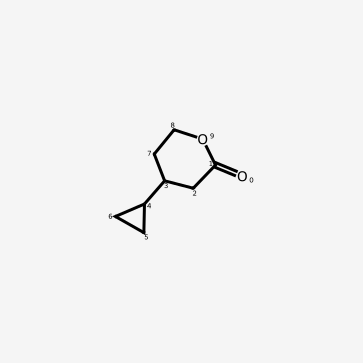 O=C1CC(C2CC2)CCO1